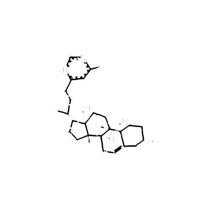 Cc1cc(CCC(C)[C@H]2CC[C@H]3[C@@H]4CC=C5C[C@@H](O)CC[C@]5(C)[C@H]4CC[C@]23C)ncn1